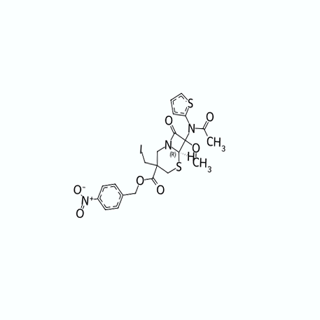 COC1(N(C(C)=O)c2cccs2)C(=O)N2CC(CI)(C(=O)OCc3ccc([N+](=O)[O-])cc3)CS[C@@H]21